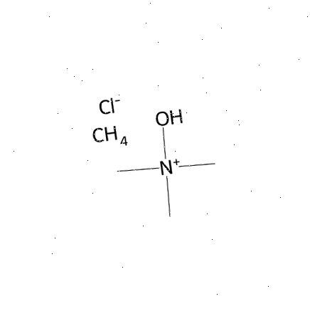 C.C[N+](C)(C)O.[Cl-]